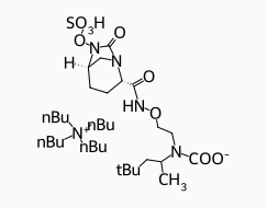 CC(CC(C)(C)C)N(CCONC(=O)[C@@H]1CC[C@@H]2CN1C(=O)N2OS(=O)(=O)O)C(=O)[O-].CCCC[N+](CCCC)(CCCC)CCCC